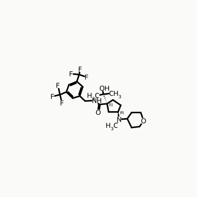 CN(C1CCOCC1)[C@@H]1CC[C@@](C(=O)NCc2cc(C(F)(F)F)cc(C(F)(F)F)c2)(C(C)(C)O)C1